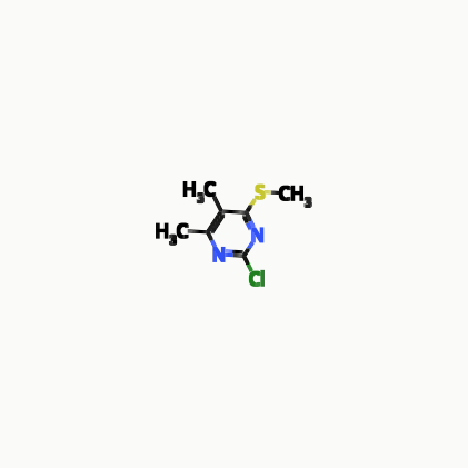 CSc1nc(Cl)nc(C)c1C